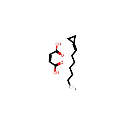 CCCCCCC=C1CC1.O=C(O)/C=C\C(=O)O